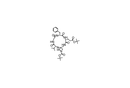 CC(C)[C@@H]1NC2(CNC(=O)[C@H](CCC(=O)OC(C)(C)C)NC(=O)[C@H](Cc3ccccc3)NC(=O)CNC1=O)CN(C(=O)OC(C)(C)C)C2